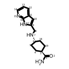 NC(=O)[C@H]1CC[C@H](NCc2cc3cccnc3[nH]2)CC1